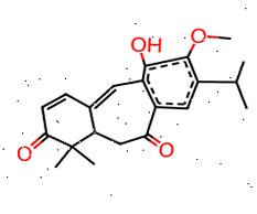 COc1c(C(C)C)cc2c(c1O)C=C1C=CC(=O)C(C)(C)C1CC2=O